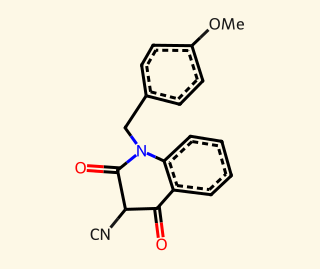 [C-]#[N+]C1C(=O)c2ccccc2N(Cc2ccc(OC)cc2)C1=O